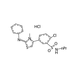 CCCNS(=O)(=O)c1cc(-c2csc(=Nc3ccccc3)n2C)ccc1Cl.Cl